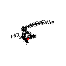 COCCOCCOCCOCCOCCOCCOCCC(=O)N1CCC[C@@H]1c1nccc(COc2ccc3cc2C[C@H](C(=O)O)Oc2ncnc4sc(-c5ccc(F)cc5)c(c24)-c2ccc(c(Cl)c2C)O[C@H](CN2CCN(C)CC2)CCO3)n1